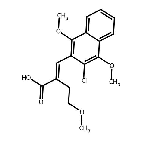 COCC/C(=C\c1c(Cl)c(OC)c2ccccc2c1OC)C(=O)O